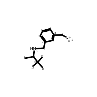 CC(NCc1cccc(CN)c1)C(C)(C)C